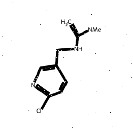 C=C(NC)NCc1ccc(Cl)nc1